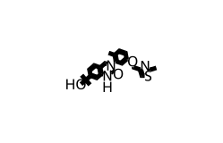 Cc1nc(COc2ccc(C)c(N3Cc4ccc(C(C)(C)O)cc4NC3=O)c2)cs1